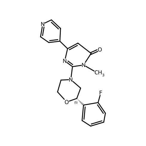 Cn1c(N2CCO[C@@H](c3ccccc3F)C2)nc(-c2ccncc2)cc1=O